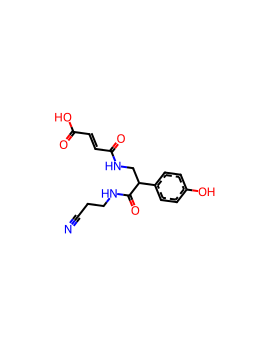 N#CCCNC(=O)C(CNC(=O)C=CC(=O)O)c1ccc(O)cc1